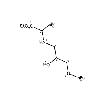 CCCCOCC(O)CNC(C(=O)OCC)C(C)C